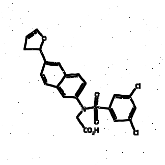 O=C(O)CN(c1ccc2cc(C3CC=CO3)ccc2c1)S(=O)(=O)c1cc(Cl)cc(Cl)c1